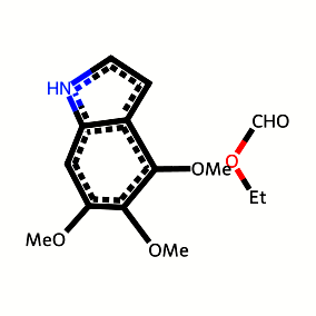 CCOC=O.COc1cc2[nH]ccc2c(OC)c1OC